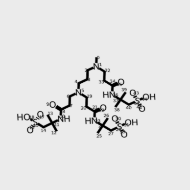 CN(CCCN(CCC(=O)NC(C)(C)CS(=O)(=O)O)CCC(=O)NC(C)(C)CS(=O)(=O)O)CCC(=O)NC(C)(C)CS(=O)(=O)O